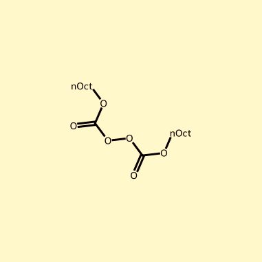 CCCCCCCCOC(=O)OOC(=O)OCCCCCCCC